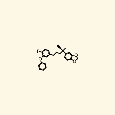 C#CC(C)(CCCc1ccc(F)c(Oc2ccccc2)c1)c1ccc2c(c1)OCO2